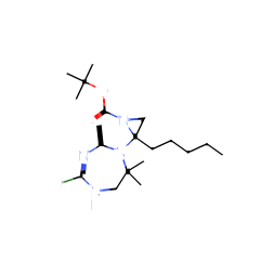 C=C1N=C(Cl)NCC(C)(C)N1C1(CCCCC)CN1C(=O)OC(C)(C)C